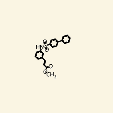 COC(=O)/C=C/c1cccc(NS(=O)(=O)c2ccc(-c3ccccc3)cc2)c1